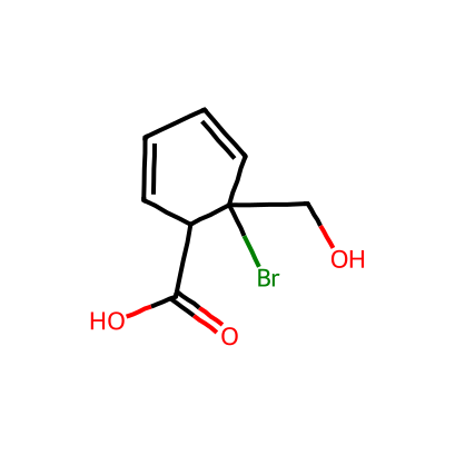 O=C(O)C1C=CC=CC1(Br)CO